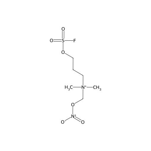 C[N+](C)(CCCOS(=O)(=O)F)CO[N+](=O)[O-]